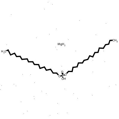 CCCCCCCCCCCCCCCCCCOP(=O)(O)OCCCCCCCCCCCCCCCCCC.[MgH2]